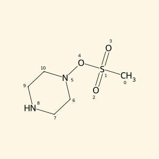 CS(=O)(=O)ON1CCNCC1